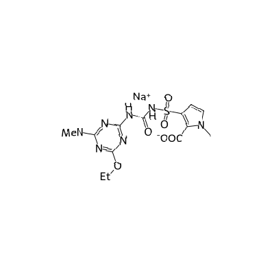 CCOc1nc(NC)nc(NC(=O)NS(=O)(=O)c2ccn(C)c2C(=O)[O-])n1.[Na+]